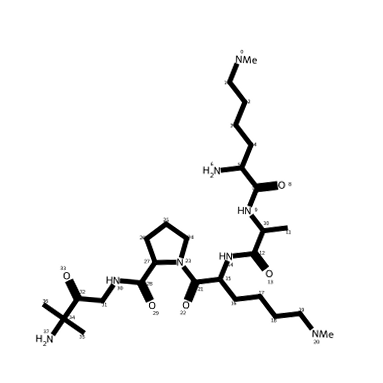 CNCCCCC(N)C(=O)NC(C)C(=O)NC(CCCCNC)C(=O)N1CCCC1C(=O)NCC(=O)C(C)(C)N